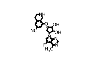 Cc1ncnc2c1c(F)cn2[C@@H]1C[C@H](Oc2cc(C#N)cc3c2CNCC3)[C@@H](O)[C@H]1O